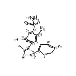 Cc1onc(-c2ccc(F)cc2)c1-c1cc(F)c(S(N)(=O)=O)cc1F